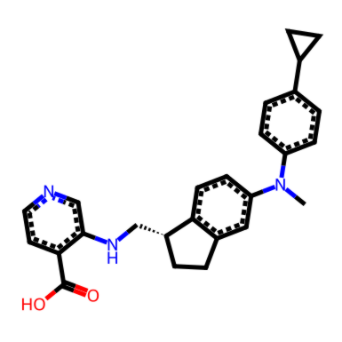 CN(c1ccc(C2CC2)cc1)c1ccc2c(c1)CC[C@@H]2CNc1cnccc1C(=O)O